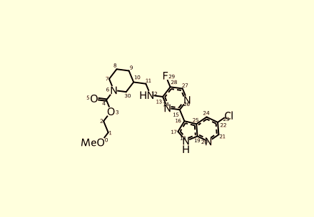 COCCOC(=O)N1CCCC(CNc2nc(-c3c[nH]c4ncc(Cl)cc34)ncc2F)C1